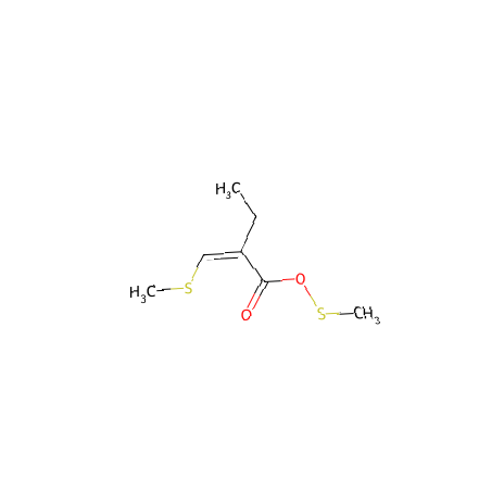 CCC(=CSC)C(=O)OSC